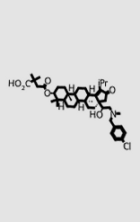 CC(C)C1=C2[C@H]3CC[C@H]4[C@@H](CC[C@H]5C(C)(C)[C@@H](OC(=O)CC(C)(C)C(=O)O)CC[C@]45C)[C@]3(C)CC[C@@]2([C@H](O)CN(C)Cc2ccc(Cl)cc2)CC1=O